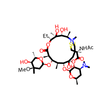 CC[C@H]1OC(=O)[C@H](C)[C@@H](O[C@H]2C[C@@](C)(OC)[C@@H](O)[C@H](C)O2)[C@H](C)[C@@H](O[C@@H]2O[C@H](C)C[C@H](N(C)C)[C@H]2OC(=O)[C@H](CS)NC(C)=O)[C@](C)(O)C[C@@H](C)CN(C)[C@H](C)[C@@H](O)[C@]1(C)O